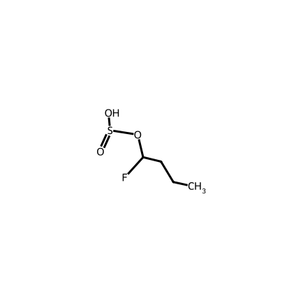 CCCC(F)OS(=O)O